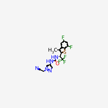 Cc1c([C@@H](NC(=O)Nc2cnn(CC#N)c2)C(F)(F)F)sc2c(F)cc(F)cc12